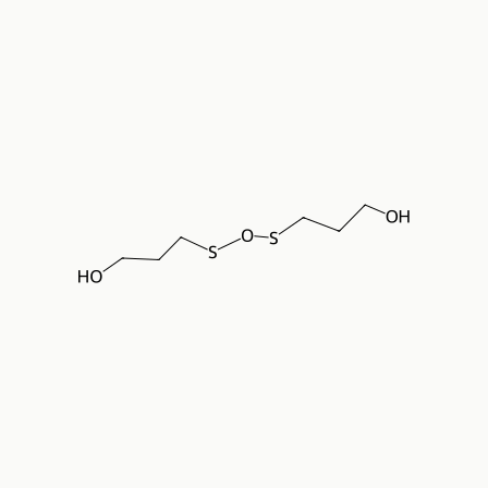 OCCCSOSCCCO